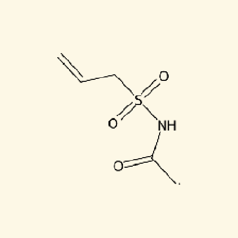 [CH2]C(=O)NS(=O)(=O)CC=C